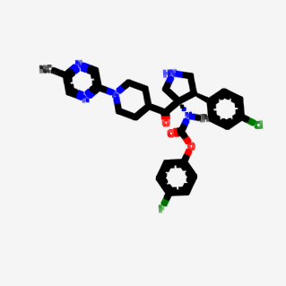 CC(C)N(C(=O)Oc1ccc(F)cc1)[C@]1(C(=O)C2CCN(c3cnc(C#N)cn3)CC2)CNC[C@H]1c1ccc(Cl)cc1